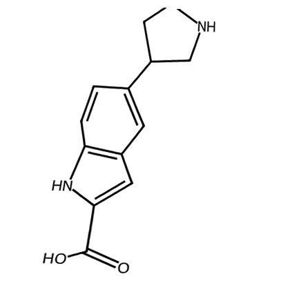 O=C(O)c1cc2cc(C3CCNC3)ccc2[nH]1